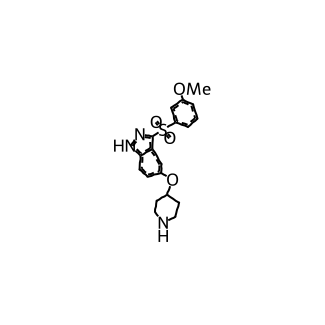 COc1cccc(S(=O)(=O)c2n[nH]c3ccc(OC4CCNCC4)cc23)c1